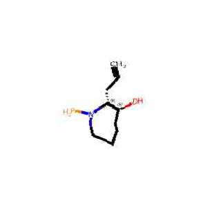 C=CC[C@@H]1[C@@H](O)CCCN1P